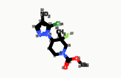 CC(C)(C)OC(=O)N1CCC(n2ncc([N+](=O)[O-])c2Cl)C(C)(F)C1